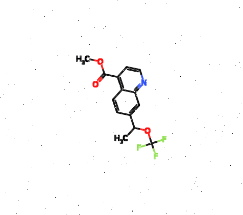 COC(=O)c1ccnc2cc(C(C)OC(F)(F)F)ccc12